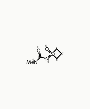 CNC(=O)N=S1(=O)CCC1